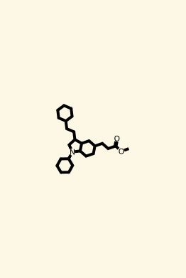 COC(=O)CCC1CCC2C(C1)C(CCC1CCCCC1)CN2C1CCCCC1